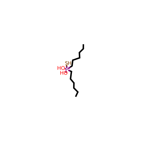 CCCCCCP(O)(O)(S)CCCCCC